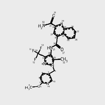 COc1ccc(Cn2nc(C(F)(F)F)c(NC(=O)c3cc(C(N)=O)nc4ccccc34)c2C)cn1